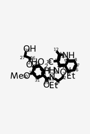 CCC(COC1(CC)C=CC=C2NC(C)=C(C(=O)O)C(N)=C21)NC(=O)c1ccc(OCCO)c(OC)c1